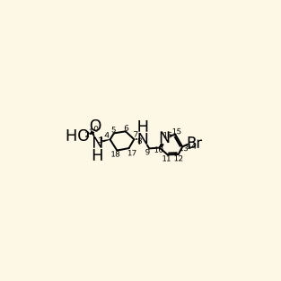 O=C(O)N[C@H]1CC[C@H](NCc2ccc(Br)cn2)CC1